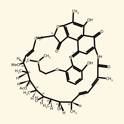 CO[C@H]1/C=C/O[C@@]2(C)Oc3c(C)c(O)c4c(c3C2=O)/C(=N/c2c(O)cccc2OCCN(C)C)C=C(NC(=O)/C(C)=C\C=C\[C@H](C)[C@H](O)[C@@H](C)[C@@H](O)[C@@H](C)[C@H](OC(C)=O)[C@@H]1C)C4=O